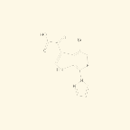 O=C(O)C(=O)c1c[nH]c2c(-n3cccn3)ncc(Br)c12